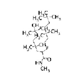 CNC(=O)C(CCCC(C)(C)CCC(C)(C)C)CC(C)(C)CCC(C)(C)C